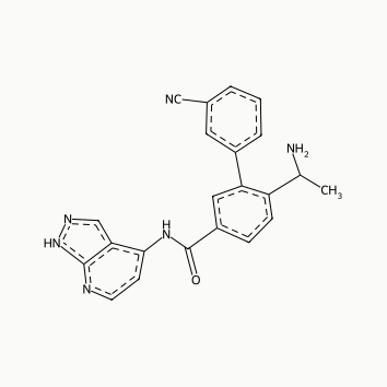 CC(N)c1ccc(C(=O)Nc2ccnc3[nH]ncc23)cc1-c1cccc(C#N)c1